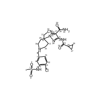 CS(=O)(=O)Nc1cc(CN2CCC(CC#N)(n3cc(C(N)=O)c(NC(=O)C4CC4)n3)CC2)ccc1Cl